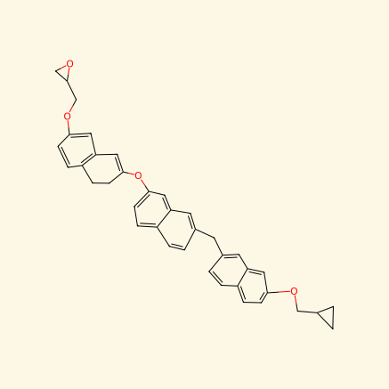 C1=C(Oc2ccc3ccc(Cc4ccc5ccc(OCC6CC6)cc5c4)cc3c2)CCc2ccc(OCC3CO3)cc21